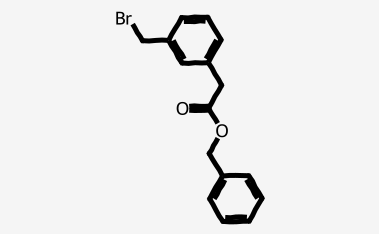 O=C(Cc1cccc(CBr)c1)OCc1ccccc1